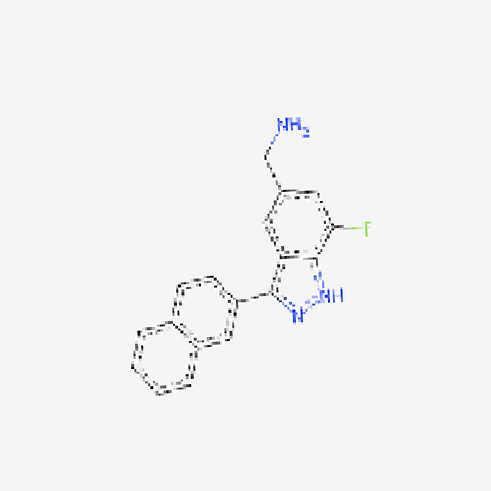 NCc1cc(F)c2[nH]nc(-c3ccc4ccccc4c3)c2c1